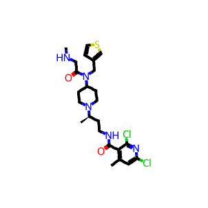 CNCC(=O)N(Cc1ccsc1)C1CCN([C@H](C)CCNC(=O)c2c(C)cc(Cl)nc2Cl)CC1